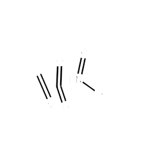 C=O.O=C=O.O=[NH+][O-]